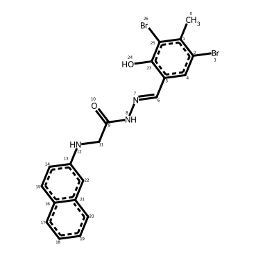 Cc1c(Br)cc(/C=N/NC(=O)CNc2ccc3ccccc3c2)c(O)c1Br